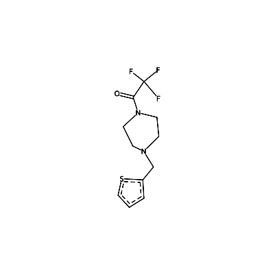 O=C(N1CCN(Cc2cccs2)CC1)C(F)(F)F